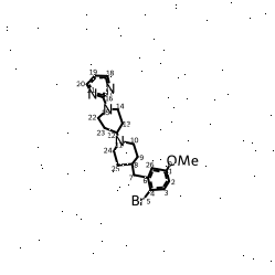 COc1ccc(Br)c(CC2CCN(C3CCN(c4ncccn4)CC3)CC2)c1